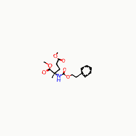 COC(=O)CC[C@](C)(NC(=O)OCCc1ccccc1)C(=O)OC